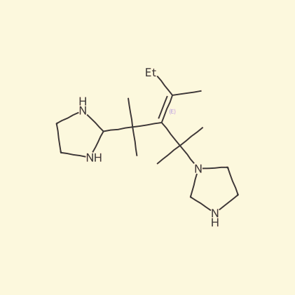 CC/C(C)=C(\C(C)(C)C1NCCN1)C(C)(C)N1CCNC1